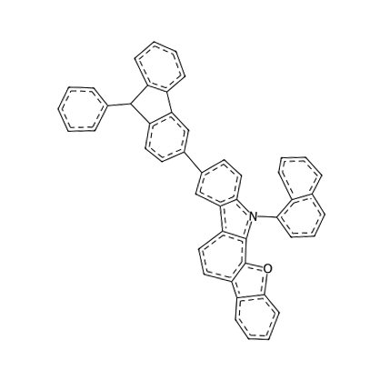 c1ccc(C2c3ccccc3-c3cc(-c4ccc5c(c4)c4ccc6c7ccccc7oc6c4n5-c4cccc5ccccc45)ccc32)cc1